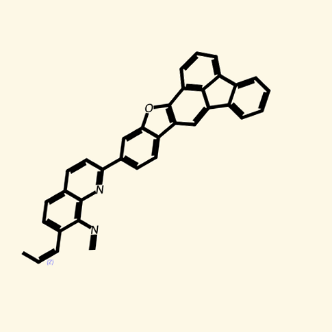 C=Nc1c(/C=C\C)ccc2ccc(-c3ccc4c(c3)oc3c5cccc6c5c(cc43)-c3ccccc3-6)nc12